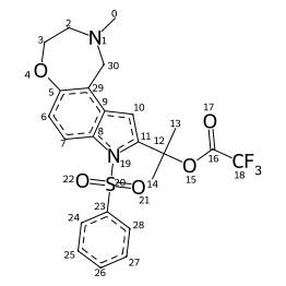 CN1CCOc2ccc3c(cc(C(C)(C)OC(=O)C(F)(F)F)n3S(=O)(=O)c3ccccc3)c2C1